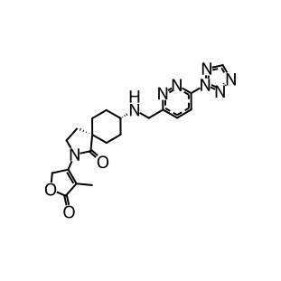 CC1=C(N2CC[C@]3(CC[C@@H](NCc4ccc(-n5ncnn5)nn4)CC3)C2=O)COC1=O